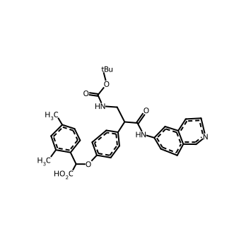 Cc1ccc(C(Oc2ccc(C(CNC(=O)OC(C)(C)C)C(=O)Nc3ccc4cnccc4c3)cc2)C(=O)O)c(C)c1